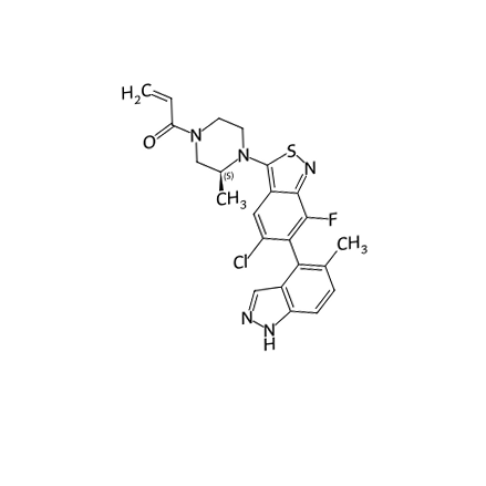 C=CC(=O)N1CCN(c2snc3c(F)c(-c4c(C)ccc5[nH]ncc45)c(Cl)cc23)[C@@H](C)C1